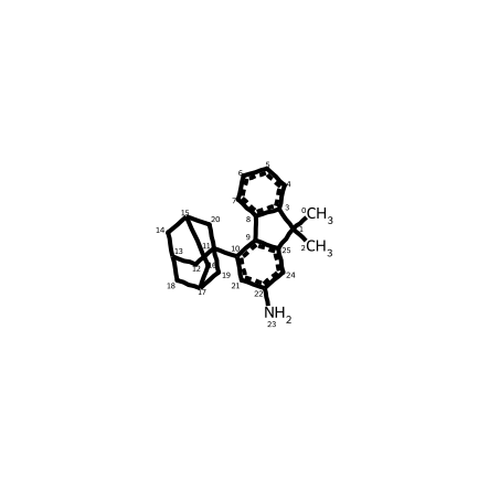 CC1(C)c2ccccc2-c2c(C34CC5CC(CC(C5)C3)C4)cc(N)cc21